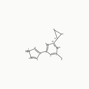 Cc1cc(-c2cn[nH]c2)nc(C2CC2)n1